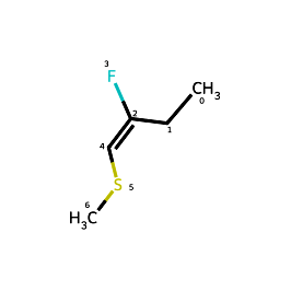 CC/C(F)=C\SC